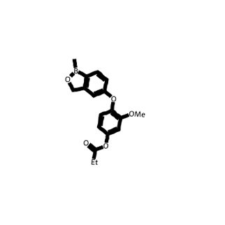 CCC(=O)Oc1ccc(Oc2ccc3c(c2)COB3C)c(OC)c1